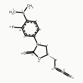 CN(C)c1ccc(N2C[C@H](CN=[N+]=[N-])OC2=O)cc1F